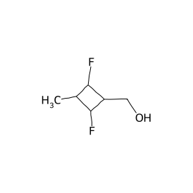 CC1C(F)C(CO)C1F